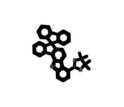 CC1(C)OB(c2cccc3oc4c5c(ccc4c23)C2(c3ccccc3-c3ccccc32)c2ccccc2-5)OC1(C)C